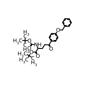 CC(C)(C)OC(=O)NC(CCC(=O)c1ccc(OCc2ccccc2)cc1)C(=O)OC(C)(C)C